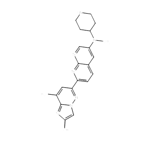 Cc1cn2nc(-c3ccc4cc(N(C)C5CCNCC5)cnc4n3)cc(C)c2n1